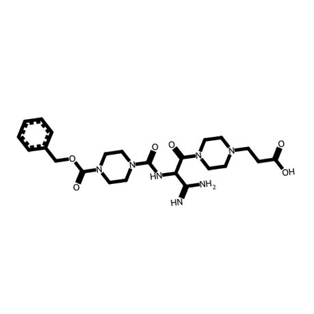 N=C(N)C(NC(=O)N1CCN(C(=O)OCc2ccccc2)CC1)C(=O)N1CCN(CCC(=O)O)CC1